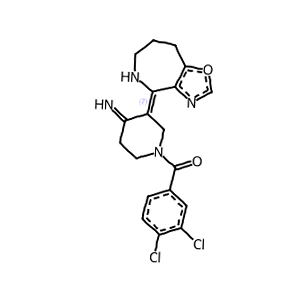 N=C1CCN(C(=O)c2ccc(Cl)c(Cl)c2)C/C1=C1/NCCCc2ocnc21